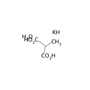 CC(C(=O)O)C(=O)O.O.[KH]